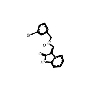 O=C1Nc2ccccc2C1=C[S+]([O-])Cc1cccc(Br)c1